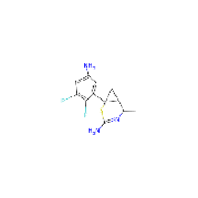 CC1N=C(N)SC2(c3cc(N)cc(F)c3F)CC12